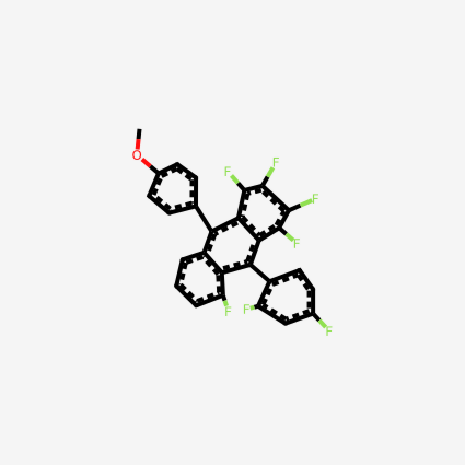 COc1ccc(-c2c3cccc(F)c3c(-c3ccc(F)cc3F)c3c(F)c(F)c(F)c(F)c23)cc1